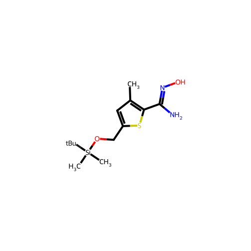 Cc1cc(CO[Si](C)(C)C(C)(C)C)sc1C(N)=NO